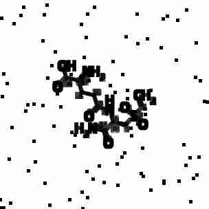 C=CS(=O)(=O)C[C@H](NC(=O)CC[C@H](N)C(=O)O)C(N)=O